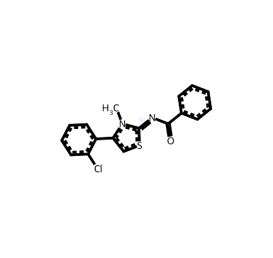 Cn1c(-c2ccccc2Cl)cs/c1=N\C(=O)c1ccccc1